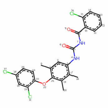 Cc1cc(NC(=O)NC(=O)c2ccccc2Cl)c(C)c(C)c1Oc1ccc(Cl)cc1Cl